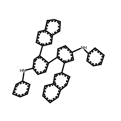 c1ccc(Nc2ccc(-c3ccc(Nc4ccccc4)cc3-c3ccc4ccccc4c3)c(-c3ccc4ccccc4c3)c2)cc1